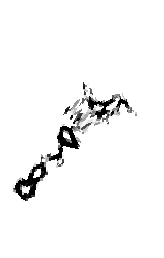 C=CC(=O)NC1CC(C)(C)N(S(=O)(=O)c2ccc(C(=O)NC3Cc4ccccc4C3)cc2)C1(C)C